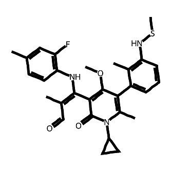 COc1c(-c2cccc(NSC)c2C)c(C)n(C2CC2)c(=O)c1/C(Nc1ccc(C)cc1F)=C(/C)C=O